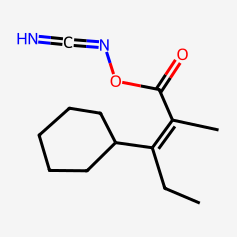 CCC(=C(C)C(=O)ON=C=N)C1CCCCC1